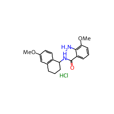 COc1ccc2c(c1)CCCC2NC(=O)c1cccc(OC)c1N.Cl